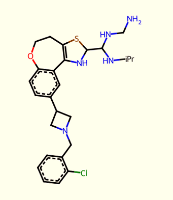 CC(C)NC(NCN)C1NC2=C(CCOc3ccc(C4CN(Cc5ccccc5Cl)C4)cc32)S1